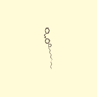 CCCCCCCCCCOc1ccc(Sc2ccccc2)cc1